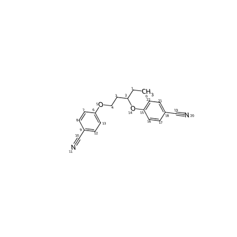 CCC(CCOc1ccc(C#N)cc1)Oc1ccc(C#N)cc1